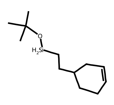 CC(C)(C)O[SiH2]CCC1CC=CCC1